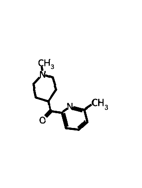 Cc1cccc(C(=O)C2CCN(C)CC2)n1